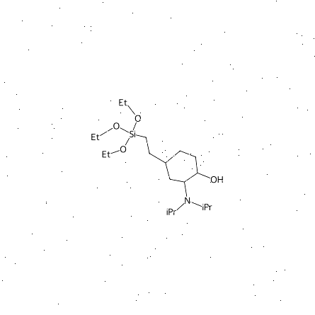 CCO[Si](CCC1CCC(O)C(N(C(C)C)C(C)C)C1)(OCC)OCC